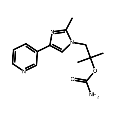 Cc1nc(-c2cccnc2)cn1CC(C)(C)OC(N)=O